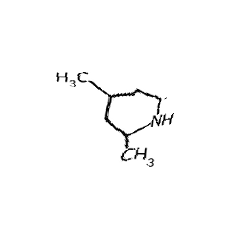 CC1C[CH]NC(C)C1